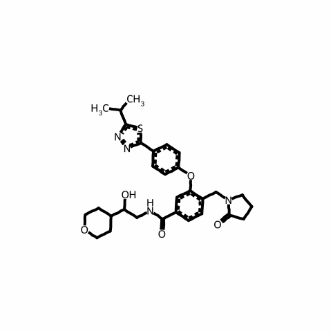 CC(C)c1nnc(-c2ccc(Oc3cc(C(=O)NCC(O)C4CCOCC4)ccc3CN3CCCC3=O)cc2)s1